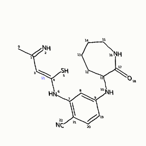 CC(=N)/C=C(\S)Nc1cc(NC2CCCCNC2=O)ccc1C#N